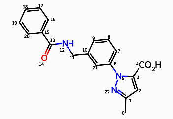 Cc1cc(C(=O)O)n(-c2cccc(CNC(=O)c3ccccc3)c2)n1